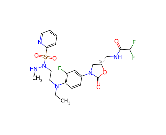 CCN(CCN(NC)S(=O)(=O)c1ccccn1)c1ccc(N2C[C@H](CNC(=O)C(F)F)OC2=O)cc1F